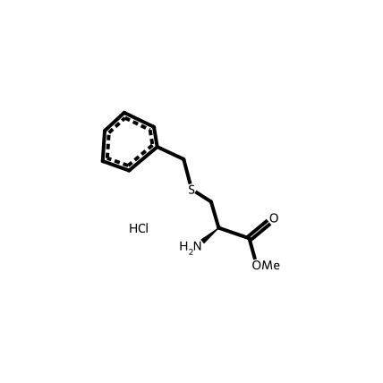 COC(=O)[C@@H](N)CSCc1ccccc1.Cl